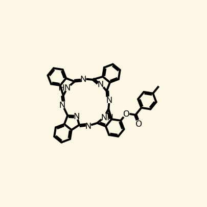 Cc1ccc(C(=O)Oc2cccc3c4nc5nc(nc6[nH]c(nc7nc(nc([nH]4)c23)-c2ccccc2-7)c2ccccc62)-c2ccccc2-5)cc1